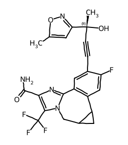 Cc1cc([C@](C)(O)C#Cc2cc3c(cc2F)C2CC2Cn2c-3nc(C(N)=O)c2C(F)(F)F)no1